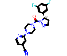 N#Cc1ccnc(N2CCN(C(=O)N3N=CC[C@H]3c3cc(F)cc(F)c3)CC2)c1